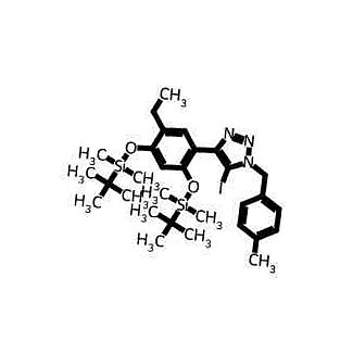 CCc1cc(-c2nnn(Cc3ccc(C)cc3)c2I)c(O[Si](C)(C)C(C)(C)C)cc1O[Si](C)(C)C(C)(C)C